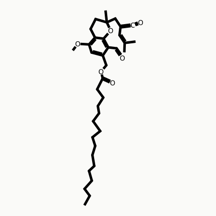 CCCCCCCCCCCCCCCC(=O)OCc1cc(OC)c2c(c1C=O)OC(C)(CC(=C=O)C=C(C)C)CC2